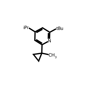 CC(C)c1cc(C(C)(C)C)nc(C2(C)CC2)c1